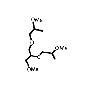 COCC(COCC(C)OC)OCC(C)OC